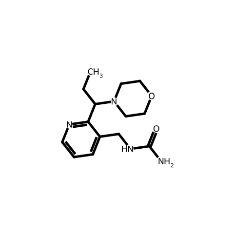 CCC(c1ncccc1CNC(N)=O)N1CCOCC1